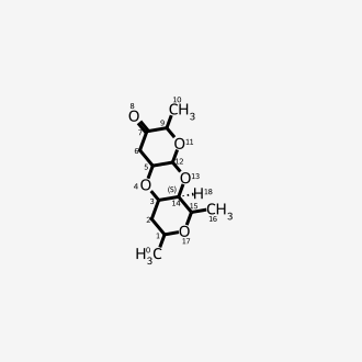 CC1CC2OC3CC(=O)C(C)OC3O[C@H]2C(C)O1